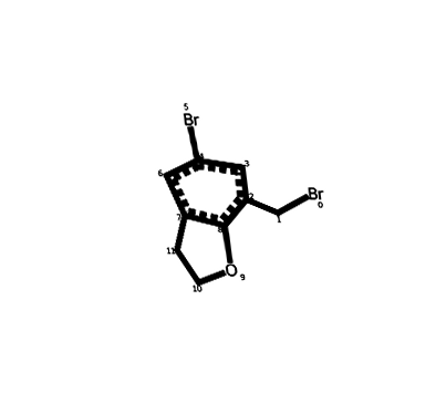 BrCc1cc(Br)cc2c1OCC2